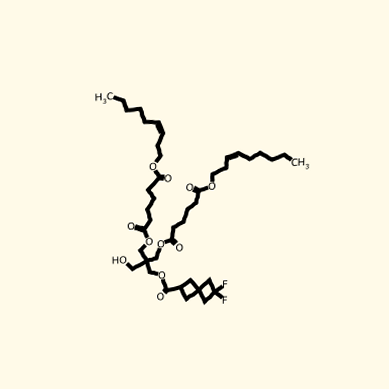 CCCCC/C=C\CCOC(=O)CCCCC(=O)OCC(CO)(COC(=O)CCCCC(=O)OCC/C=C\CCCCC)COC(=O)C1CC2(C1)CC(F)(F)C2